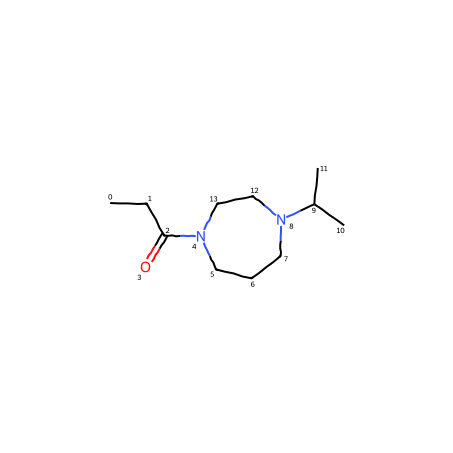 CCC(=O)N1CCCN(C(C)C)CC1